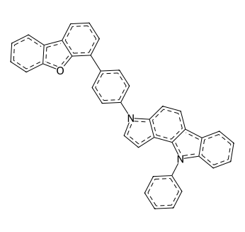 c1ccc(-n2c3ccccc3c3ccc4c(ccn4-c4ccc(-c5cccc6c5oc5ccccc56)cc4)c32)cc1